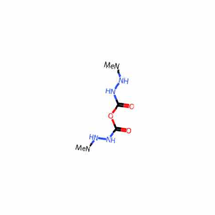 CNNNC(=O)OC(=O)NNNC